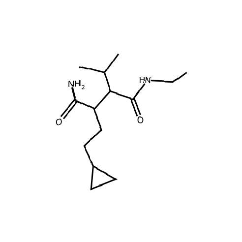 CCNC(=O)C(C(C)C)C(CCC1CC1)C(N)=O